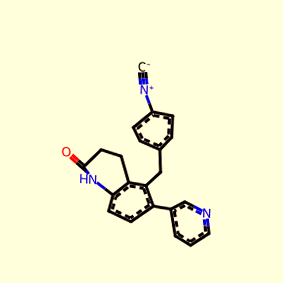 [C-]#[N+]c1ccc(Cc2c(-c3cccnc3)ccc3c2CCC(=O)N3)cc1